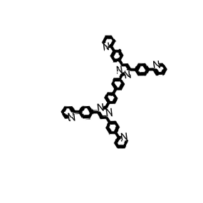 c1ccc(-c2ccc(-c3cc(-c4ccc(-c5ccccn5)cc4)nc(-c4ccc(-c5ccc(-c6nc(-c7ccc(-c8ccccn8)cc7)cc(-c7ccc(-c8ccccn8)cc7)n6)cc5)cc4)n3)cc2)nc1